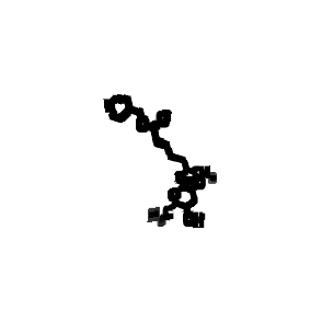 C[C@H](CC/C=C/C(=O)OCc1ccncc1)O[C@@H]1O[C@@H](C)[C@H](O)C[C@H]1O